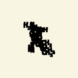 CC(C)OC(=O)OC(C)OC(=O)C1=C(CSc2cnns2)CS[C@H]2[C@H](NC(=O)/C(=N\O)c3csc(N)n3)C(=O)N12